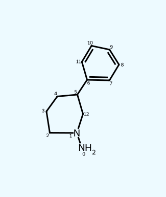 NN1CCCC(c2ccccc2)C1